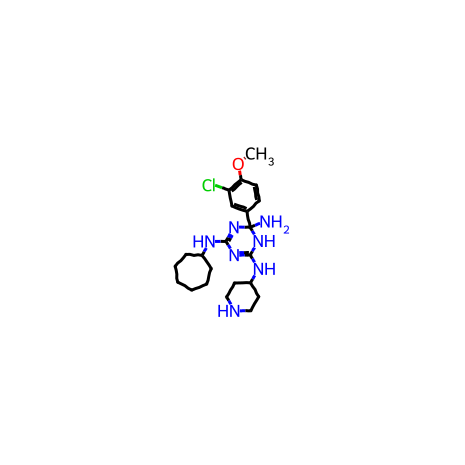 COc1ccc(C2(N)N=C(NC3CCCCCC3)N=C(NC3CCNCC3)N2)cc1Cl